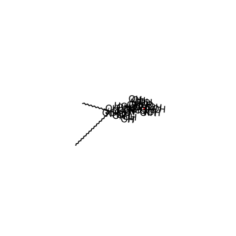 CCCCCCCCCCCCC/C=C/[C@@H](O)[C@H](CO[C@@H]1OC(CO)[C@@H](O[C@@H]2OC(CO)[C@H](O)[C@H](O[C@@H]3OC(CO)[C@@H](O)[C@H](O[C@@H]4OC(CO)[C@H](O)[C@H](O[C@@H]5OC(CO)[C@H](O)[C@H](O[C@]6(C(=O)O)CC(O)[C@@H](NC(C)=O)C([C@H](O)[C@H](O)CO)O6)C5O)C4O)C3NC(C)=O)C2O)[C@H](O)C1O)NC(=O)CCCCCCCCCCCCCCCCCCCCCCCCC